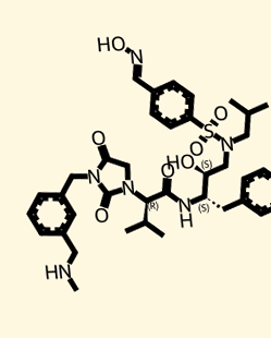 CNCc1cccc(CN2C(=O)CN([C@@H](C(=O)N[C@@H](Cc3ccccc3)[C@@H](O)CN(CC(C)C)S(=O)(=O)c3ccc(C=NO)cc3)C(C)C)C2=O)c1